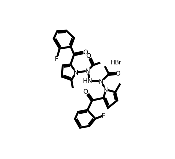 Br.CC(=O)N(NN(C(C)=O)n1c(C)ccc1C(=O)c1ccccc1F)n1c(C)ccc1C(=O)c1ccccc1F